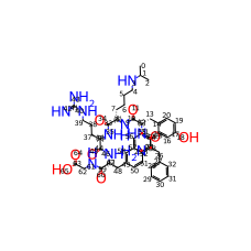 CC(C)NCCCC[C@H](NC(=O)[C@H](Cc1ccc(O)cc1)NC(=O)[C@@H](N)Cc1ccccc1)C(=O)N[C@H](CCCNC(=N)N)C(=O)N[C@@H](Cc1ccc2ccccc2c1)C(=O)NCC(=O)O